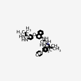 CC(C)C(=N)n1cc(O[C@@H]2CC[C@H](NC(=O)N/C(=C/C(=N)C(C)(C)C)Nc3cccc(N4CCOCC4)c3)c3ccccc32)ccc1=N